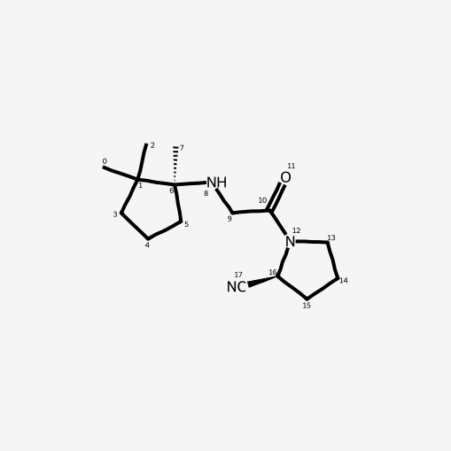 CC1(C)CCC[C@]1(C)NCC(=O)N1CCC[C@H]1C#N